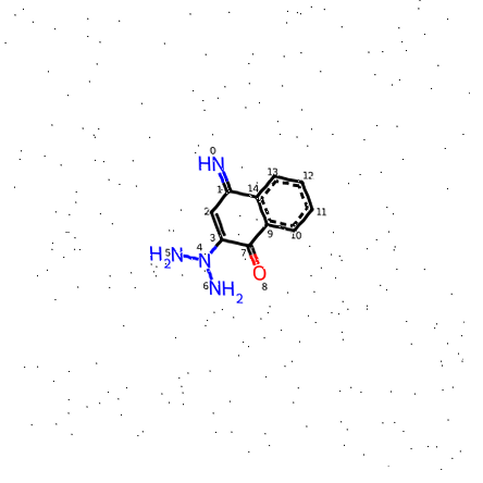 N=C1C=C(N(N)N)C(=O)c2ccccc21